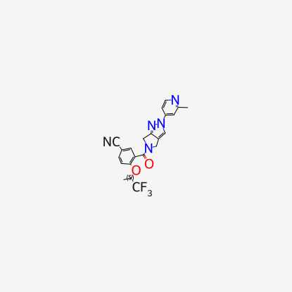 Cc1cc(-n2cc3c(n2)CN(C(=O)c2cc(C#N)ccc2O[C@@H](C)C(F)(F)F)C3)ccn1